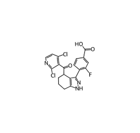 O=C(O)c1ccc(-c2n[nH]c3c2C(C(=O)c2c(Cl)ccnc2Cl)CCC3)c(F)c1